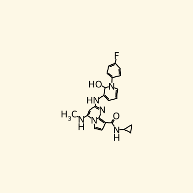 CNc1cc(NC2=CC=CN(c3ccc(F)cc3)C2O)nc2c(C(=O)NC3CC3)ccn12